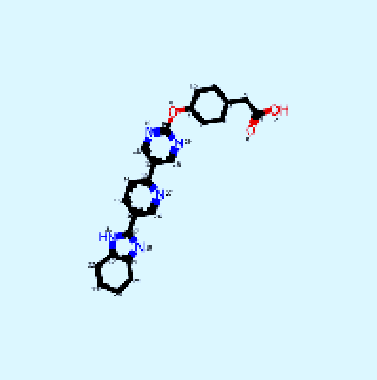 O=C(O)CC1CCC(Oc2ncc(-c3ccc(-c4nc5c([nH]4)CCCC5)cn3)cn2)CC1